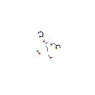 O=C(Cc1ccsc1)N[C@@H](CCCSCC(=O)C(F)(F)F)C(=O)Nc1cccnc1.O=C(O)C(F)(F)F